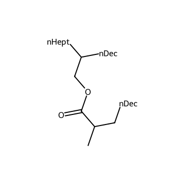 CCCCCCCCCCCC(C)C(=O)OCC(CCCCCCC)CCCCCCCCCC